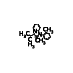 Cc1ccccc1N1C2C=CC=CN2C(C(C)C)[C@@H]1C